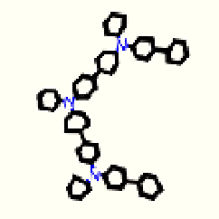 C1CCC(C2CCC(N(C3CCCCC3)C3CCC(C4CCC(N(C5CCCCC5)C5CCC(C6CCC(N(C7CCCCC7)C7CCC(C8CCCCC8)CC7)CC6)CC5)CC4)CC3)CC2)CC1